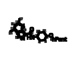 CCCCCO[C@H]1CC[C@H](NC(=O)c2ncn3c(C)cc(C)nc23)CC1